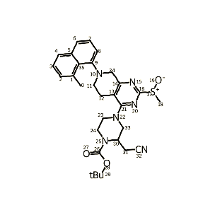 Cc1cccc2cccc(N3CCc4c(nc([S+](C)[O-])nc4N4CCN(C(=O)OC(C)(C)C)C(CC#N)C4)C3)c12